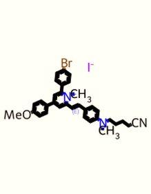 COc1ccc(-c2cc(/C=C/c3ccc(N(C)CCCCC#N)cc3)[n+](C)c(-c3ccc(Br)cc3)c2)cc1.[I-]